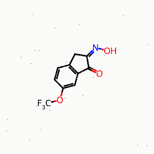 O=C1/C(=N\O)Cc2ccc(OC(F)(F)F)cc21